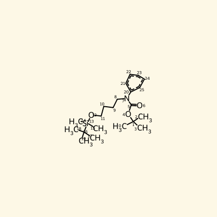 CC(C)(C)OC(=O)N(CCCCO[Si](C)(C)C(C)(C)C)c1ccccc1